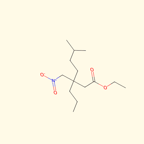 CCCC(CCC(C)C)(CC(=O)OCC)C[N+](=O)[O-]